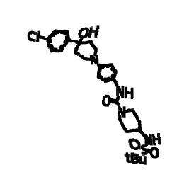 CC(C)(C)S(=O)(=O)NC1CCN(C(=O)Nc2ccc(N3CCC(O)(c4ccc(Cl)cc4)CC3)cc2)CC1